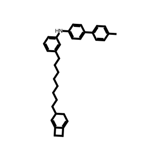 Cc1ccc(-c2ccc(Nc3cccc(CCCCCCCCC4C=C5CCC5=CC4)c3)cc2)cc1